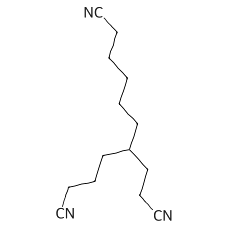 N#CCCCCCC(CCC#N)CCCC#N